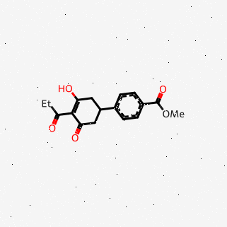 CCC(=O)C1=C(O)CC(c2ccc(C(=O)OC)cc2)CC1=O